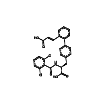 O=C(O)/C=C/c1ccccc1-c1ccc(C[C@H](NC(=O)c2c(Cl)cccc2Cl)C(=O)O)cc1